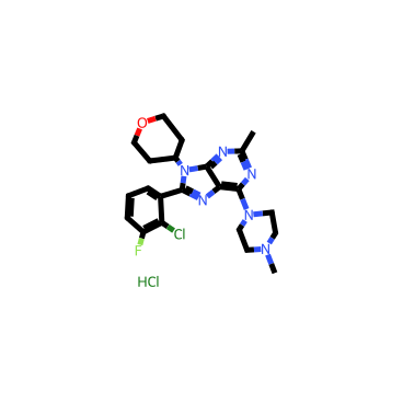 Cc1nc(N2CCN(C)CC2)c2nc(-c3cccc(F)c3Cl)n(C3CCOCC3)c2n1.Cl